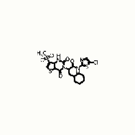 CS(=O)(=O)C1=CSC2C(=O)N(C(CC3CCCCC3)C(=O)Nc3ncc(Cl)s3)C(=O)NC12